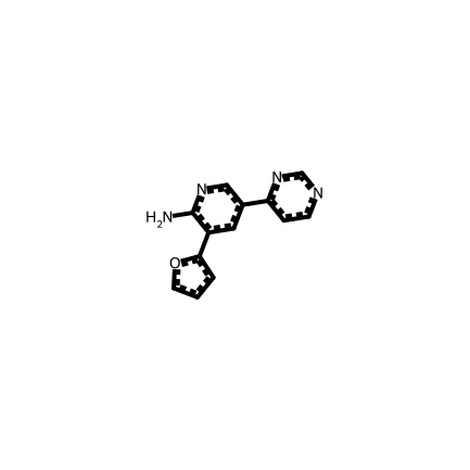 Nc1ncc(-c2ccncn2)cc1-c1ccco1